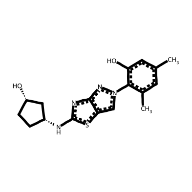 Cc1cc(C)c(-n2cc3sc(N[C@@H]4CC[C@H](O)C4)nc3n2)c(O)c1